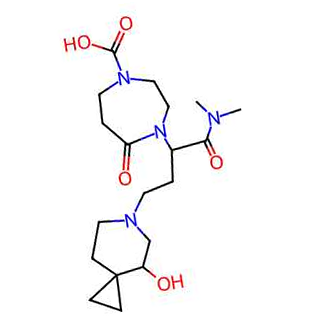 CN(C)C(=O)C(CCN1CCC2(CC2)C(O)C1)N1CCN(C(=O)O)CCC1=O